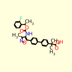 Cc1noc(-c2ccc(-c3ccc(C(C)(C)C(=O)O)cc3)cc2)c1NC(=O)OC(C)c1ccccc1F